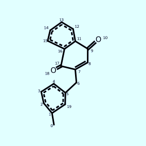 Cc1cccc(CC2=CC(=O)c3ccccc3C2=O)c1